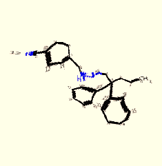 C=CCC(CNCc1ccc(C#N)cc1)(c1ccccc1)c1ccccc1